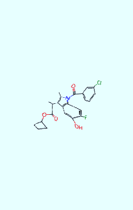 Cc1c(C(C)C(=O)OC2CCC2)c2cc(O)c(F)cc2n1C(=O)c1cccc(Cl)c1